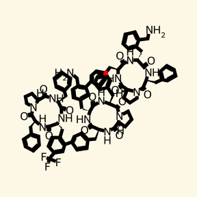 NCc1ccccc1C[C@H]1NC(=O)[C@H](Cc2ccc(-c3cc(C[C@H]4NC(=O)[C@H](Cc5ccc(-c6cc(C(F)(F)F)ccc6C[C@H]6NC(=O)[C@H](Cc7ccccc7)NC(=O)[C@H]7CCCN7C(=O)[C@H](Cc7ccccc7)NC6=O)cc5)NC(=O)[C@H]5CCCN5C(=O)[C@H](Cc5ccccc5)NC4=O)ccc3CN)cc2)NC(=O)[C@H]2CCCN2C(=O)[C@H](Cc2ccccc2)NC1=O